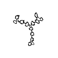 c1ccc(N(c2ccccc2)c2ccc(-c3ccc(N(c4ccc(-c5ccc(-c6ccc7oc8ccccc8c7c6)cc5)cc4)c4ccc(-c5ccc6c7ccccc7c7ccccc7c6c5)cc4)cc3)cc2)cc1